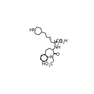 O.O=C(O)CN1C(=O)C(NC(CSCCC2CCNCC2)C(=O)O)CCc2ccccc21